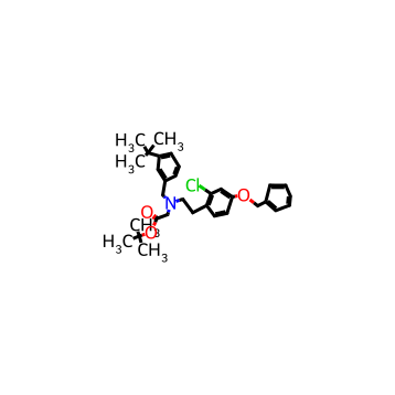 CC(C)(C)OC(=O)CN(CCc1ccc(OCc2ccccc2)cc1Cl)Cc1cccc(C(C)(C)C)c1